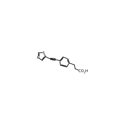 O=C(O)CCc1ccc(C#Cc2cncs2)cc1